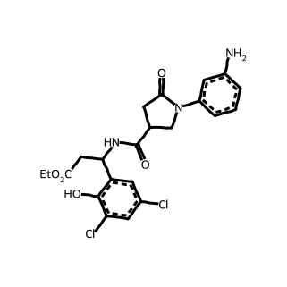 CCOC(=O)CC(NC(=O)C1CC(=O)N(c2cccc(N)c2)C1)c1cc(Cl)cc(Cl)c1O